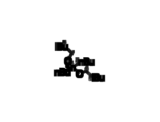 CCC[CH2][Sn]([CH2]CCC)([O]CC(C)CC)[O]CC(C)CC